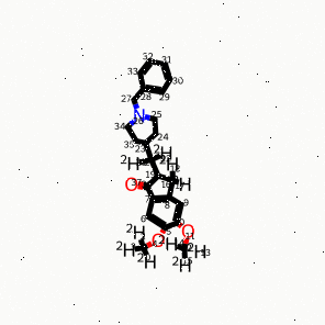 [2H]C([2H])([2H])Oc1cc2c(cc1OC([2H])([2H])[2H])C([2H])([2H])C(C([2H])([2H])C1CCN(Cc3ccccc3)CC1)C2=O